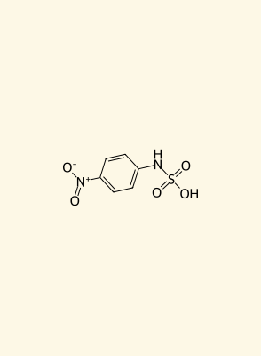 O=[N+]([O-])c1ccc(NS(=O)(=O)O)cc1